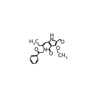 CCOc1c(C=O)[nH]c2cc(CC)n(CC(=O)c3ccccc3)c(=O)c12